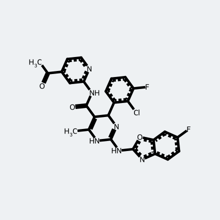 CC(=O)c1ccnc(NC(=O)C2=C(C)NC(Nc3nc4ccc(F)cc4o3)=NC2c2cccc(F)c2Cl)c1